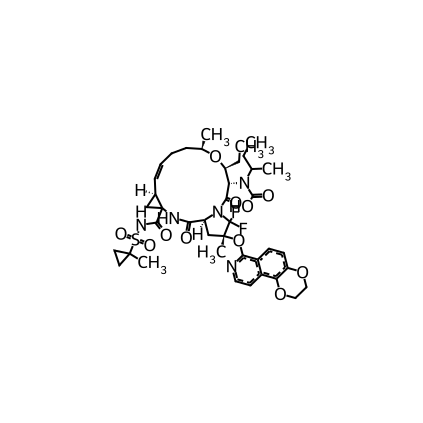 CCC(C)N(C(=O)O)[C@@H]1C(=O)N2[C@@H](C[C@@](C)(Oc3nccc4c5c(ccc34)OCCO5)C2(F)F)C(=O)NC2(C(=O)NS(=O)(=O)C3(C)CC3)C[C@H]2/C=C\CC[C@@H](C)O[C@H]1CC